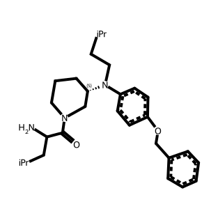 CC(C)CCN(c1ccc(OCc2ccccc2)cc1)[C@H]1CCCN(C(=O)C(N)CC(C)C)C1